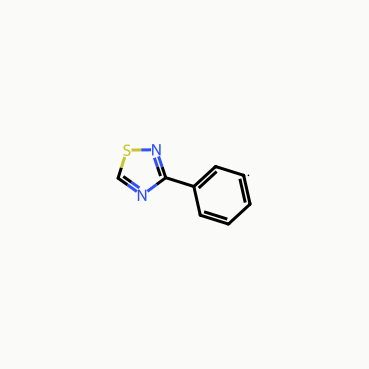 [c]1cccc(-c2ncsn2)c1